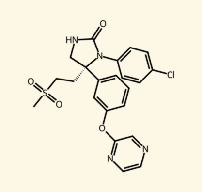 CS(=O)(=O)CC[C@]1(c2cccc(Oc3cnccn3)c2)CNC(=O)N1c1ccc(Cl)cc1